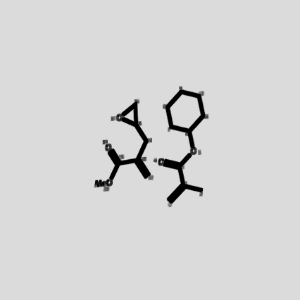 C=C(C)C(=O)OC1CCCCC1.C=C(CC1CO1)C(=O)OC